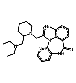 CCN(CC)CC1CCCCN1CC(=O)N1c2ncccc2NC(=O)c2cccc(Br)c21